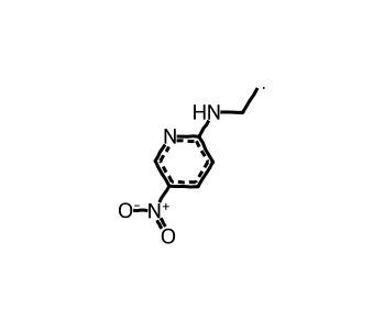 [CH2]CNc1ccc([N+](=O)[O-])cn1